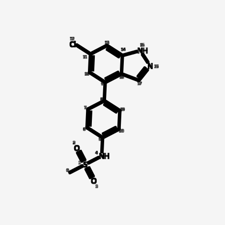 CS(=O)(=O)Nc1ccc(-c2cc(Cl)cc3[nH]ncc23)cc1